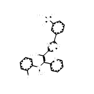 CS(=O)(=O)c1cccc(-c2noc(/C(N)=C(\c3ccccn3)N(N)c3ccccc3F)n2)c1